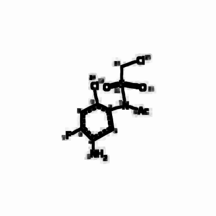 CC(=O)N(c1cc(N)c(F)cc1Cl)S(=O)(=O)CCl